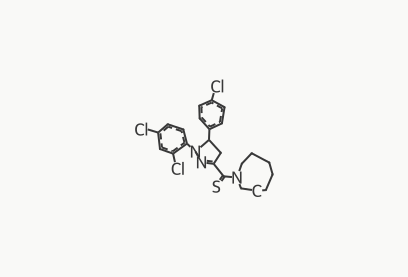 S=C(C1=NN(c2ccc(Cl)cc2Cl)C(c2ccc(Cl)cc2)C1)N1CCCCCCC1